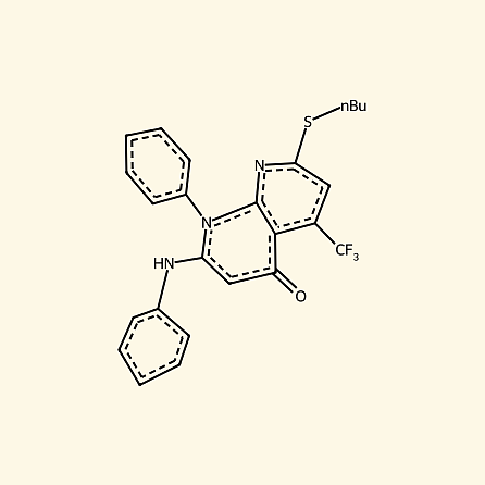 CCCCSc1cc(C(F)(F)F)c2c(=O)cc(Nc3ccccc3)n(-c3ccccc3)c2n1